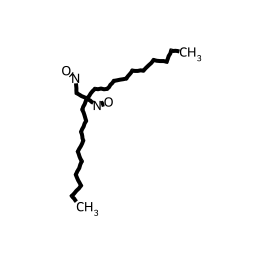 CCCCCCCCCCC(CCCCCCCCCC)(CN=O)N=O